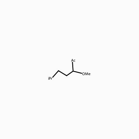 COC(CCC(C)C)C(C)=O